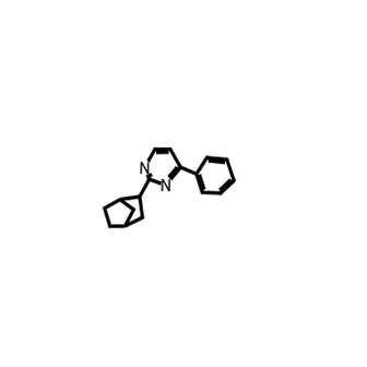 c1ccc(-c2ccnc(C3CC4CCC3C4)n2)cc1